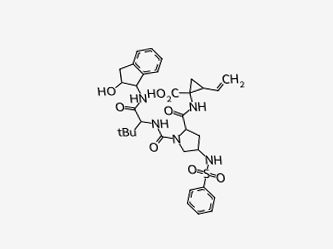 C=CC1CC1(NC(=O)C1CC(NS(=O)(=O)c2ccccc2)CN1C(=O)NC(C(=O)NC1c2ccccc2CC1O)C(C)(C)C)C(=O)O